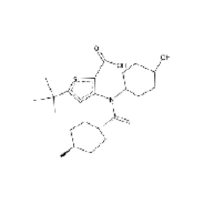 C=C([C@H]1CC[C@H](C)CC1)N(c1cc(C(C)(C)C)sc1C(=O)O)C1CCC(O)CC1